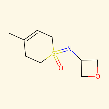 CC1=CCS(=O)(=NC2COC2)CC1